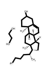 CC(C)CCC[C@@H](C)[C@H]1CC[C@H]2[C@@H]3CC=C4CC(O)CC[C@]4(C)[C@H]3CC[C@]12C.OCCO